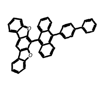 c1ccc(-c2ccc(-c3c4ccccc4c(-c4c5oc6ccccc6c5cc5c4oc4ccccc45)c4ccccc34)cc2)cc1